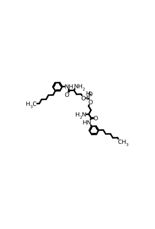 CCCCCCc1cccc(NC(=O)C(N)CCO[PH](=O)OCCC(N)C(=O)Nc2cccc(CCCCCC)c2)c1